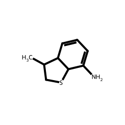 CC1CSC2C(N)=CC=CC12